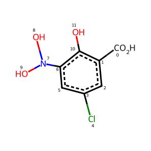 O=C(O)c1cc(Cl)cc(N(O)O)c1O